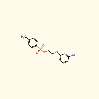 Cc1ccc(S(=O)(=O)OCCOc2cccc(N)c2)cc1